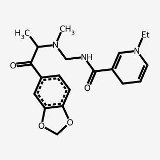 CCN1C=CCC(C(=O)NCN(C)C(C)C(=O)c2ccc3c(c2)OCO3)=C1